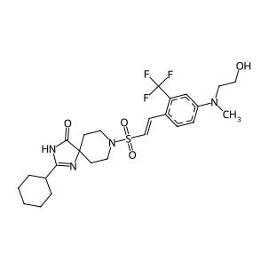 CN(CCO)c1ccc(C=CS(=O)(=O)N2CCC3(CC2)N=C(C2CCCCC2)NC3=O)c(C(F)(F)F)c1